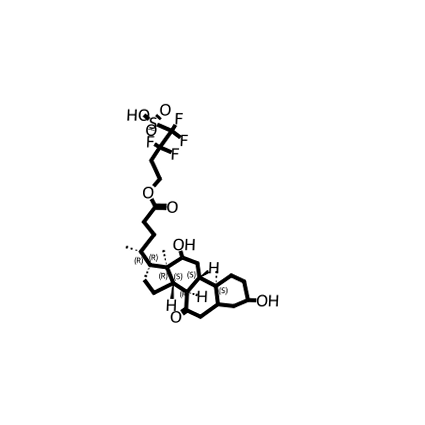 C[C@H](CCC(=O)OCCC(F)(F)C(F)(F)S(=O)(=O)O)[C@H]1CC[C@H]2[C@@H]3C(=O)CC4CC(O)CC[C@]4(C)[C@H]3CC(O)[C@]12C